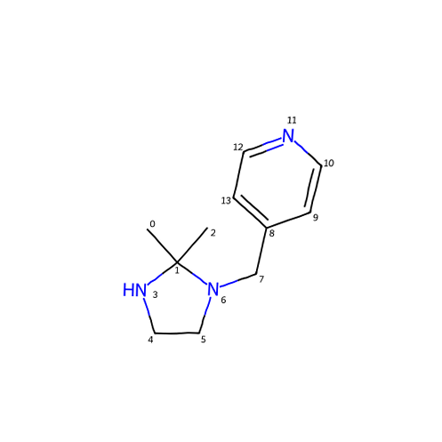 CC1(C)NCCN1Cc1ccncc1